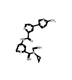 Cc1ccc(-c2ccnc(C(=O)Nc3cccc(C(=N)N(C=N)C4CC4)c3)c2)cn1